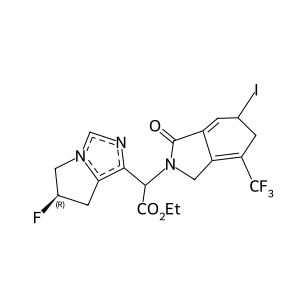 CCOC(=O)C(c1ncn2c1C[C@@H](F)C2)N1CC2=C(C(F)(F)F)CC(I)C=C2C1=O